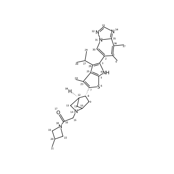 Cc1c(-c2[nH]c3sc([C@@H]4CC5C[C@H]4CN5CC(=O)N4CC(C)C4)c(C)c3c2C(C)C)cn2ncnc2c1C